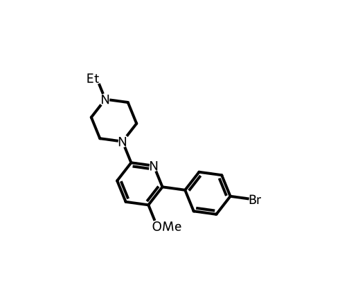 CCN1CCN(c2ccc(OC)c(-c3ccc(Br)cc3)n2)CC1